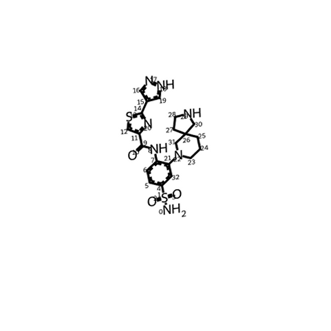 NS(=O)(=O)c1ccc(NC(=O)c2csc(-c3cn[nH]c3)n2)c(N2CCCC3(CCNC3)C2)c1